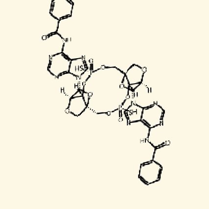 O=C(Nc1ncnc2c1ncn2[C@@H]1O[C@@]23CO[C@@H]1[C@@H]2O[P@@](=O)(S)OC[C@@]12CO[C@@H]([C@H](n4cnc5c(NC(=O)c6ccccc6)ncnc54)O1)[C@@H]2O[P@](=O)(S)OC3)c1ccccc1